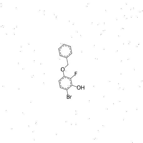 Oc1c(Br)ccc(OCc2ccccc2)c1F